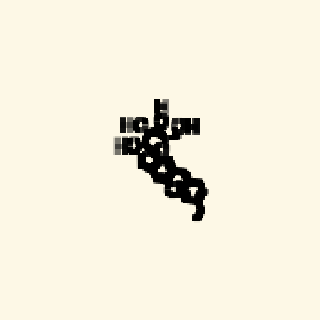 CCc1ccc(Cc2cc3c(cc2Cl)CC[C@]32O[C@H](CO)[C@@H](O)[C@H](O)[C@H]2O)cc1